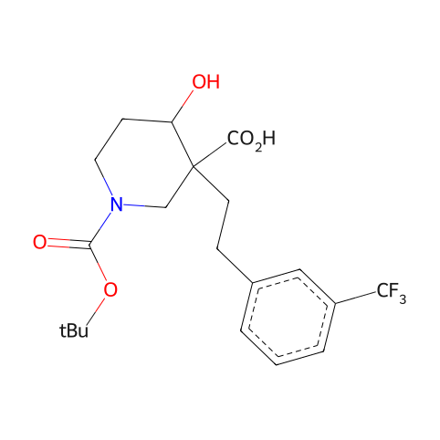 CC(C)(C)OC(=O)N1CCC(O)C(CCc2cccc(C(F)(F)F)c2)(C(=O)O)C1